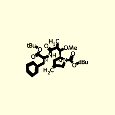 C=C1C[C@@H](C(OC)C(C)C(=O)N[C@@H](Cc2ccccc2)C(=O)OC(C)(C)C)N(C(=O)OC(C)(C)C)C1